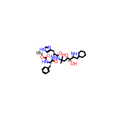 CC(C)(C[C@H](O)[C@H](O)[C@@H](N)CC1CCCCC1)NC(=O)[C@H](Cc1c[nH]cn1)NC(=O)[C@H](Cc1ccccc1)NC(=O)OC(C)(C)C